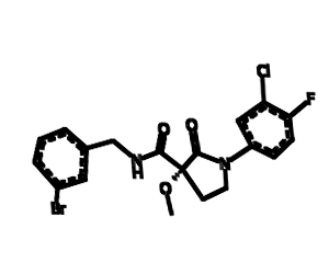 CO[C@@]1(C(=O)NCc2cccc(Br)c2)CCN(c2ccc(F)c(Cl)c2)C1=O